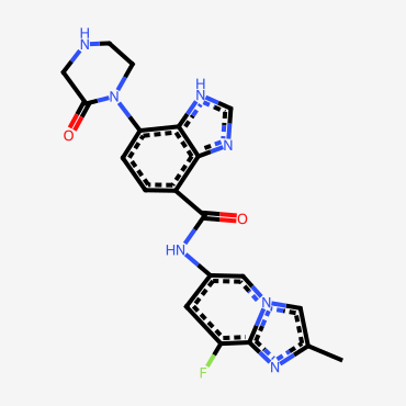 Cc1cn2cc(NC(=O)c3ccc(N4CCNCC4=O)c4[nH]cnc34)cc(F)c2n1